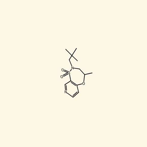 CC1CN(CC(C)(C)C)S(=O)(=O)c2cnccc2O1